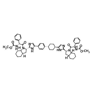 COC(=O)N[C@@H](C(=O)N1[C@@H]2CCCC[C@@H]2C[C@H]1c1ncc(-c2ccc([C@H]3CC[C@H](c4cnc([C@@H]5C[C@H]6CCCC[C@H]6N5C(=O)[C@H](NC(=O)OC)c5ccccc5)[nH]4)CC3)cc2)[nH]1)c1ccccc1